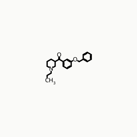 CCCN1CCCC(C(=O)c2cccc(OCc3ccccc3)c2)C1